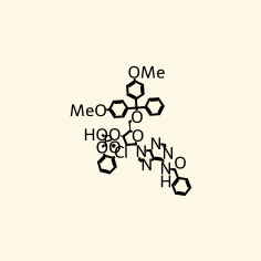 COc1ccc(C(OC[C@H]2O[C@@H](n3cnc4c(NC(=O)c5ccccc5)ncnc43)C[C@@H]2OP(=O)(O)Oc2ccccc2Cl)(c2ccccc2)c2ccc(OC)cc2)cc1